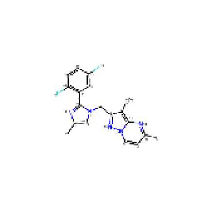 CCCc1c(Cn2cc(C)nc2-c2cc(F)ccc2F)nn2ccc(C)nc12